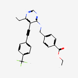 CCOC(=O)c1ccc(CNc2ncnc(CC)c2C#Cc2ccc(C(F)(F)F)cc2)cc1